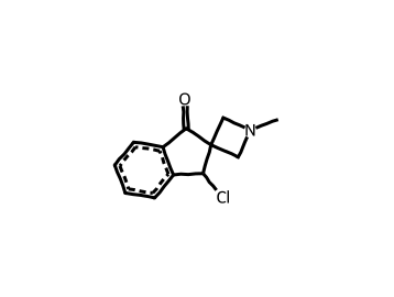 CN1CC2(C1)C(=O)c1ccccc1C2Cl